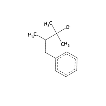 CC(Cc1ccccc1)C(C)(C)[O]